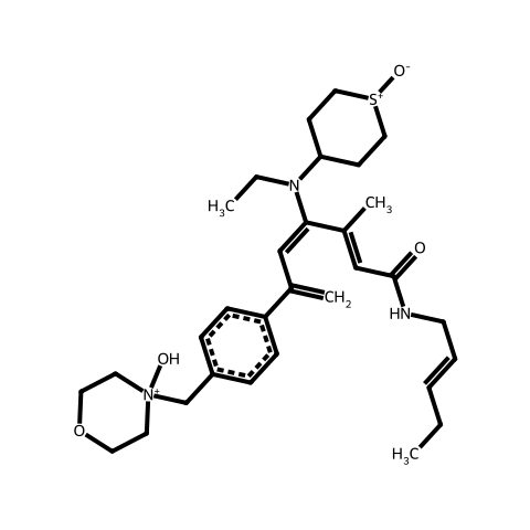 C=C(/C=C(\C(C)=C\C(=O)NC/C=C/CC)N(CC)C1CC[S+]([O-])CC1)c1ccc(C[N+]2(O)CCOCC2)cc1